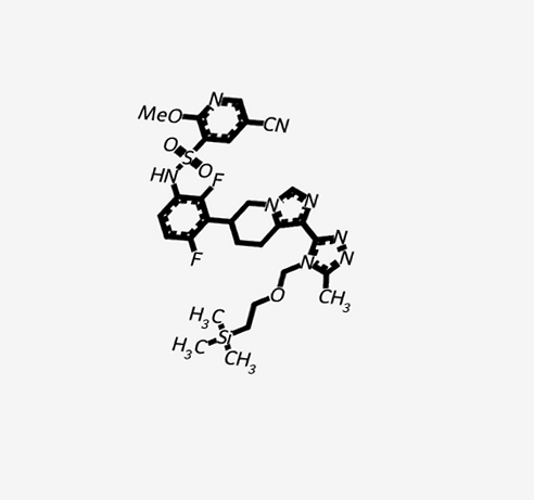 COc1ncc(C#N)cc1S(=O)(=O)Nc1ccc(F)c(C2CCc3c(-c4nnc(C)n4COCC[Si](C)(C)C)ncn3C2)c1F